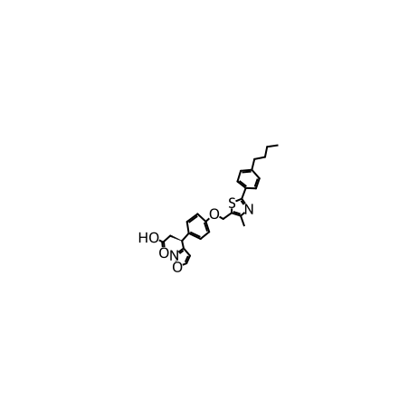 CCCCc1ccc(-c2nc(C)c(COc3ccc([C@H](CC(=O)O)c4ccon4)cc3)s2)cc1